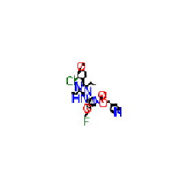 CCc1nc(-c2ccc(OC)cc2Cl)c(CC)nc1N[C@@H]1CN(C(=O)OCc2ccncc2)C[C@@H]1OCCF